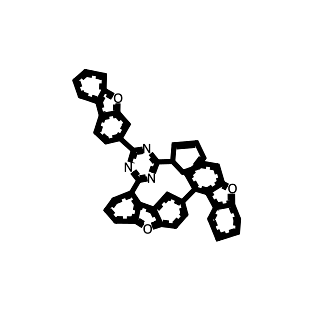 C1=CCC(c2nc(-c3ccc4c(c3)oc3ccccc34)nc(-c3cccc4oc5ccc(-c6cccc7oc8ccccc8c67)cc5c34)n2)C=C1